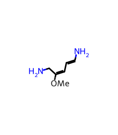 CO/C(=C/C=C/N)CN